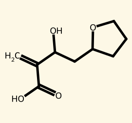 C=C(C(=O)O)C(O)CC1CCCO1